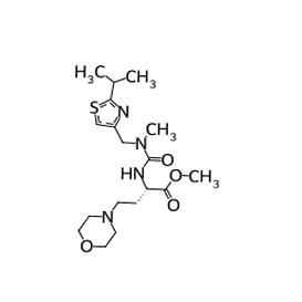 COC(=O)[C@H](CCN1CCOCC1)NC(=O)N(C)Cc1csc(C(C)C)n1